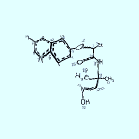 CCC(Oc1ccc2ncc(I)cc2c1)C(=O)NC(C)(C)C=NO